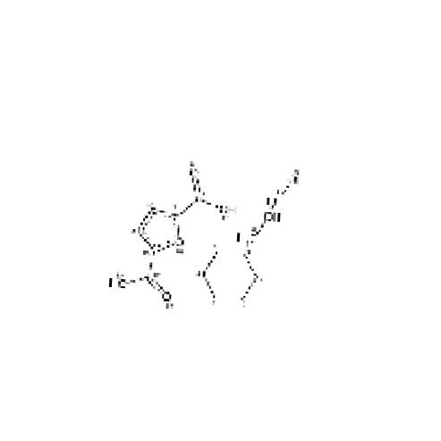 C1CCCCC1.CO.CO.O=C(O)c1ccc(C(=O)O)o1